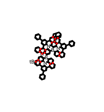 CC(C)(C)c1cc2c3c(c1)N(c1c(-c4ccccc4)cc(-c4ccccc4)cc1-c1ccccc1)c1ccccc1B3c1cc3c(cc1N2c1ccccc1)N(c1c(-c2ccccc2)cc(-c2ccccc2)cc1-c1ccccc1)c1cc(N2C4CC5CC(C4)CC2C5)cc2c1B3c1ccccc1N2c1c(-c2ccccc2)cc(-c2ccccc2)cc1-c1ccccc1